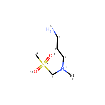 CCN(CCCN)CS(C)(=O)=O